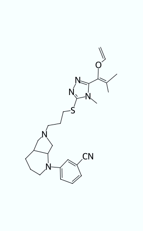 C=COC(=C(C)C)c1nnc(SCCCN2CC3CCCN(c4cccc(C#N)c4)C3C2)n1C